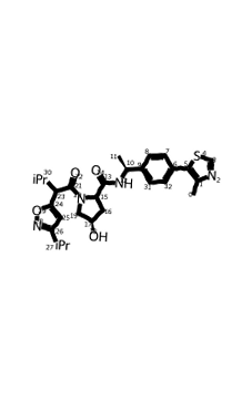 Cc1ncsc1-c1ccc([C@H](C)NC(=O)C2C[C@@H](O)CN2C(=O)C(c2cc(C(C)C)no2)C(C)C)cc1